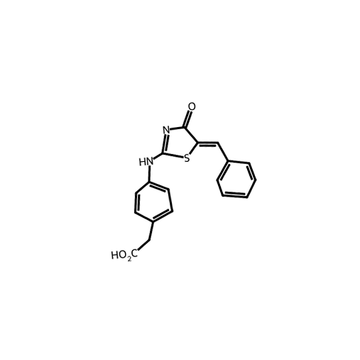 O=C(O)Cc1ccc(NC2=NC(=O)/C(=C/c3ccccc3)S2)cc1